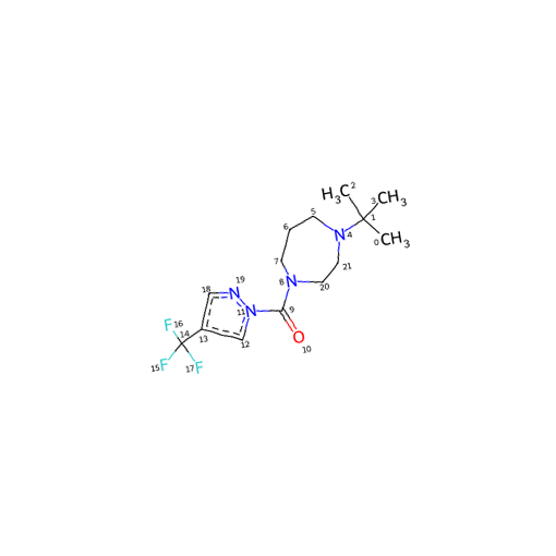 CC(C)(C)N1CCCN(C(=O)n2cc(C(F)(F)F)cn2)CC1